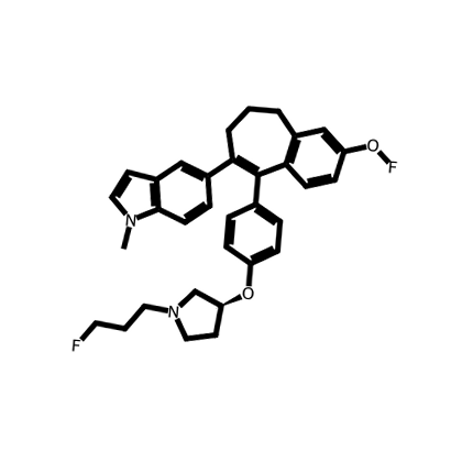 Cn1ccc2cc(C3=C(c4ccc(O[C@H]5CCN(CCCF)C5)cc4)c4ccc(OF)cc4CCC3)ccc21